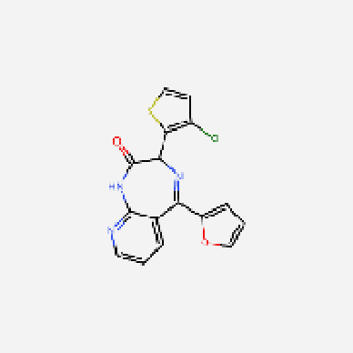 O=C1Nc2ncccc2C(c2ccco2)=NC1c1sccc1Cl